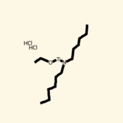 CCCCCC[N](CCCCCC)[Ti][O]CC.Cl.Cl